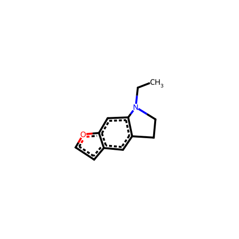 CCN1CCc2cc3ccoc3cc21